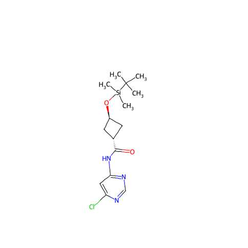 CC(C)(C)[Si](C)(C)O[C@H]1C[C@H](C(=O)Nc2cc(Cl)ncn2)C1